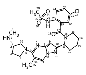 CN[C@H]1CCN(c2nc3cc([C@@H]4CCCCN4C(=O)c4cc(Cl)ccc4NS(C)(=O)=O)nn3cc2C)C1